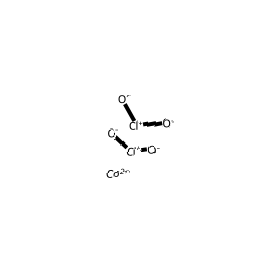 [Co+2].[O-][Cl+][O-].[O-][Cl+][O-]